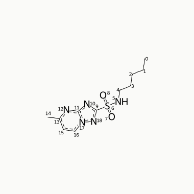 CCCCCNS(=O)(=O)c1nc2nc(C)ccn2n1